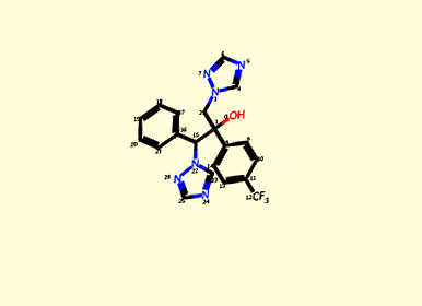 OC(Cn1cncn1)(c1ccc(C(F)(F)F)cc1)C(c1ccccc1)n1cncn1